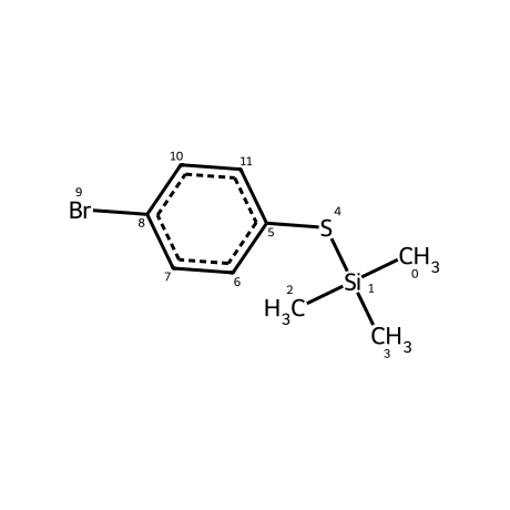 C[Si](C)(C)Sc1ccc(Br)cc1